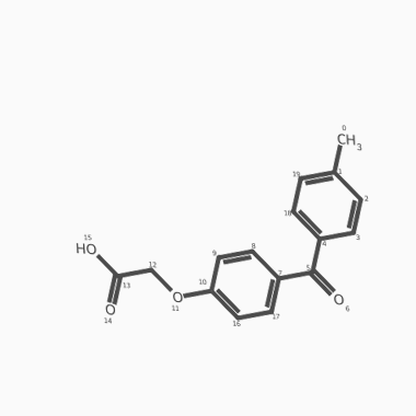 Cc1ccc(C(=O)c2ccc(OCC(=O)O)cc2)cc1